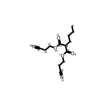 CCCCC(C(=O)OCCC#N)C(=O)OCCC#N